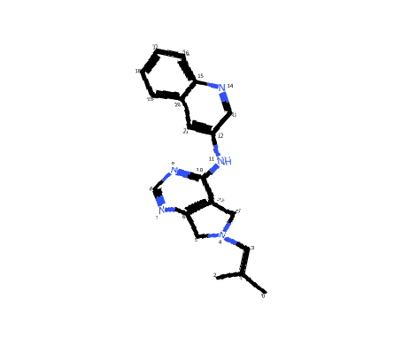 CC(C)CN1Cc2ncnc(Nc3cnc4ccccc4c3)c2C1